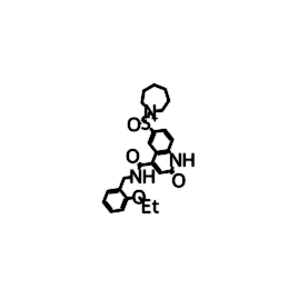 CCOc1ccccc1CNC(=O)c1cc(=O)[nH]c2ccc([S+]([O-])N3CCCCCC3)cc12